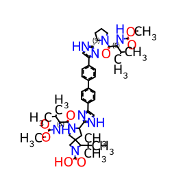 COC(=O)N[C@H](C(=O)N1CC2(CC1c1nc(-c3ccc(-c4ccc(-c5c[nH]c([C@@H]6CCCN6C(=O)[C@@H](NC(=O)OC)C(C)C)n5)cc4)cc3)c[nH]1)CN(C(=O)O)C2C(C)(C)C)C(C)C